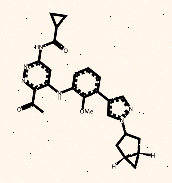 COc1c(Nc2cc(NC(=O)C3CC3)nnc2C(=O)I)cccc1-c1cnn(C2C[C@@H]3C[C@@H]3C2)c1